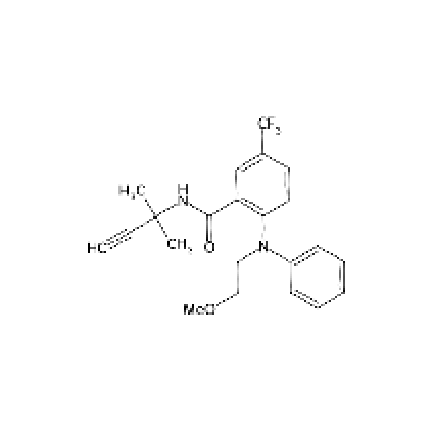 C#CC(C)(C)NC(=O)c1cc(C(F)(F)F)ccc1N(CCOC)c1ccccc1